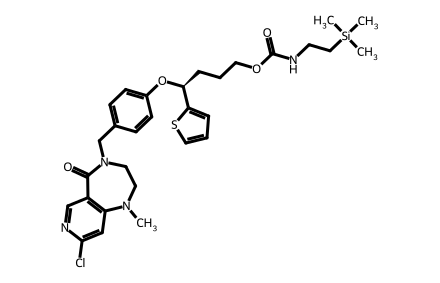 CN1CCN(Cc2ccc(O[C@@H](CCCOC(=O)NCC[Si](C)(C)C)c3cccs3)cc2)C(=O)c2cnc(Cl)cc21